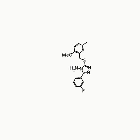 COc1ccc(C)cc1CSc1nnc(-c2cccc(F)c2)n1N